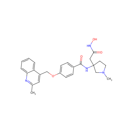 Cc1cc(COc2ccc(C(=O)NC3(CC(=O)NO)CCN(C)C3)cc2)c2ccccc2n1